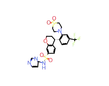 O=S1(=O)CCN(c2cc(C(F)(F)F)ccc2[C@H]2CCOc3cc(S(=O)(=O)Nc4ccncn4)ccc32)CC1